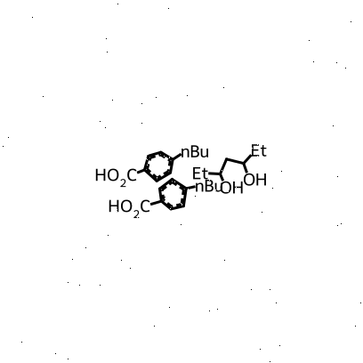 CCC(O)CC(O)CC.CCCCc1ccc(C(=O)O)cc1.CCCCc1ccc(C(=O)O)cc1